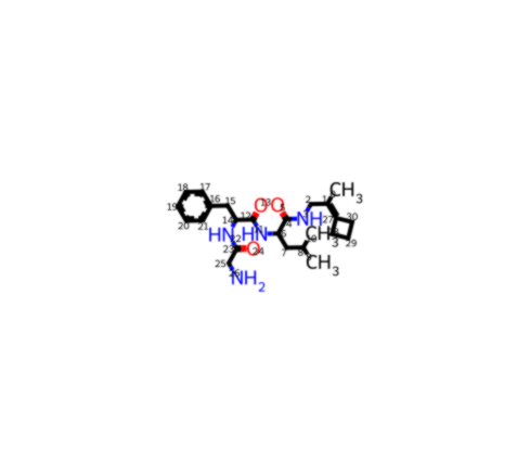 CC(CNC(=O)C(CC(C)C)NC(=O)C(Cc1ccccc1)NC(=O)CN)=C1CCC1